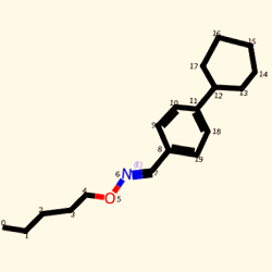 CCCCCO/N=[C]/c1ccc(C2CCCCC2)cc1